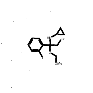 COCOC(CC(C)C)(NC1CC1)c1ccccc1I